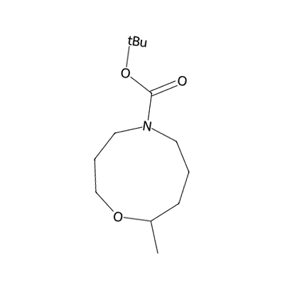 CC1CCCN(C(=O)OC(C)(C)C)CCCO1